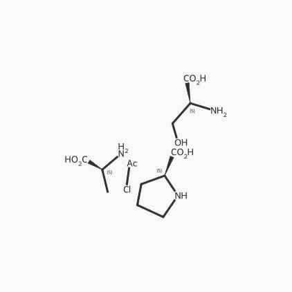 CC(=O)Cl.C[C@H](N)C(=O)O.N[C@@H](CO)C(=O)O.O=C(O)[C@@H]1CCCN1